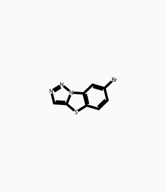 Brc1ccc2sc3cnnn3c2c1